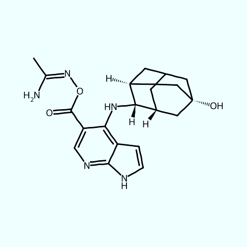 C/C(N)=N/OC(=O)c1cnc2[nH]ccc2c1N[C@H]1[C@@H]2CC3C[C@H]1C[C@@](O)(C3)C2